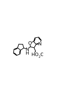 O=C(O)CC1c2ncccc2OC1NC1CCc2ccccc21